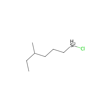 CCC(C)CCC[SiH2]Cl